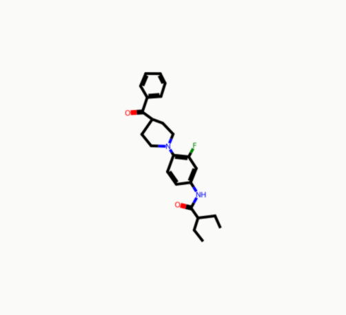 CCC(CC)C(=O)Nc1ccc(N2CCC(C(=O)c3ccccc3)CC2)c(F)c1